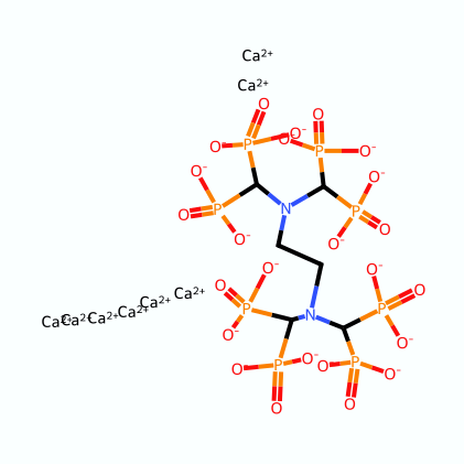 O=P([O-])([O-])C(N(CCN(C(P(=O)([O-])[O-])P(=O)([O-])[O-])C(P(=O)([O-])[O-])P(=O)([O-])[O-])C(P(=O)([O-])[O-])P(=O)([O-])[O-])P(=O)([O-])[O-].[Ca+2].[Ca+2].[Ca+2].[Ca+2].[Ca+2].[Ca+2].[Ca+2].[Ca+2]